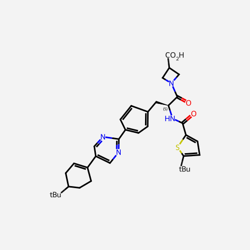 CC(C)(C)c1ccc(C(=O)N[C@@H](Cc2ccc(-c3ncc(C4=CCC(C(C)(C)C)CC4)cn3)cc2)C(=O)N2CC(C(=O)O)C2)s1